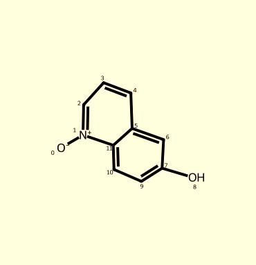 [O-][n+]1cccc2cc(O)ccc21